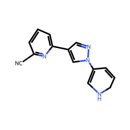 N#Cc1cccc(-c2cnn(C3=CNCC=C3)c2)n1